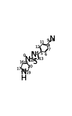 CN(c1nc(-c2ccc(C#N)cc2)cs1)C1CCNCC1